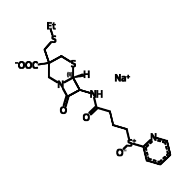 CCSCC1(C(=O)[O-])CS[C@@H]2C(NC(=O)CCC[S+]([O-])c3ccccn3)C(=O)N2C1.[Na+]